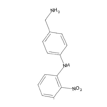 NCc1ccc(Nc2ccc[c]c2[N+](=O)[O-])cc1